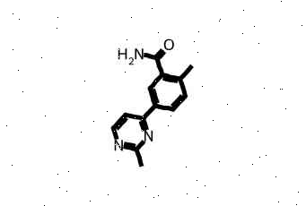 Cc1nccc(-c2ccc(C)c(C(N)=O)c2)n1